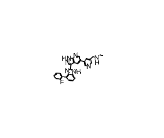 CCNCc1cncc(-c2cnc3[nH]nc(-c4nc5c(-c6ccccc6F)cccc5[nH]4)c3c2)c1